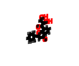 O=C(c1cccc2c(=O)cc(-c3ccccc3)oc12)C(O)CO